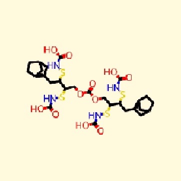 O=C(O)NSC(COC(=O)OCC(SNC(=O)O)C(CC1=C2CCC(C2)C1)SNC(=O)O)C(CC1=C2CCC(C2)C1)SNC(=O)O